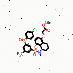 CN([C@@H]1CCCc2c(OCC(=O)OC(C)(C)C)cccc21)S(=O)(=O)c1cc([S+]([O-])c2ccc(Cl)cc2)cc(C(F)(F)F)c1